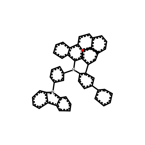 c1ccc(-c2ccc(N(c3cccc(-n4c5ccccc5c5ccccc54)c3)c3cc4c5ccccc5ccc4c4ccccc34)c(-c3ccccc3)c2)cc1